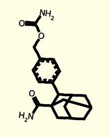 NC(=O)OCc1ccc(C2C3CC4CC(C3)CC2(C(N)=O)C4)cc1